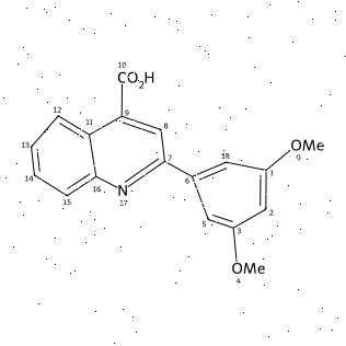 COc1cc(OC)cc(-c2cc(C(=O)O)c3ccccc3n2)c1